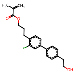 C=C(C)C(=O)OCCCc1ccc(-c2ccc(CCO)cc2)cc1F